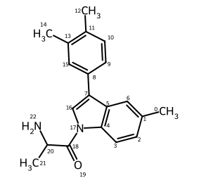 Cc1ccc2c(c1)c(-c1ccc(C)c(C)c1)cn2C(=O)C(C)N